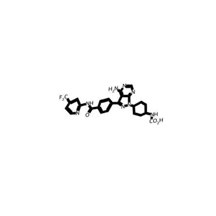 Nc1ncnc2c1c(-c1ccc(C(=O)Nc3cc(C(F)(F)F)ccn3)cc1)nn2C1CCC(NC(=O)O)CC1